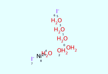 O.O.O.O.O.O.[I-].[I-].[Ni+2]